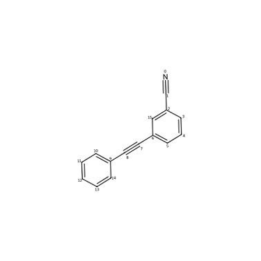 N#Cc1cccc(C#Cc2ccccc2)c1